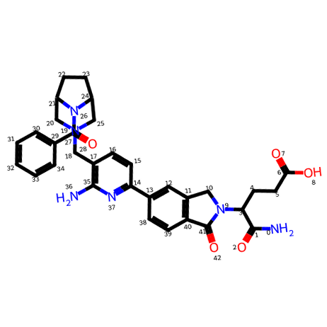 NC(=O)C(CCC(=O)O)N1Cc2cc(-c3ccc(CN4CC5CCC(C4)N5C(=O)c4ccccc4)c(N)n3)ccc2C1=O